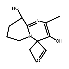 CCC1(C=O)C(O)=C(C)N=C2C(O)CCCN21